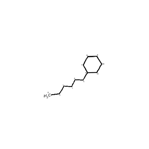 [CH2]CCCCCC1CCCCC1